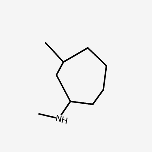 CNC1CCCCC(C)C1